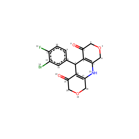 O=C1COCC2=C1C(c1ccc(F)c(Br)c1)C1=C(COCC1=O)N2